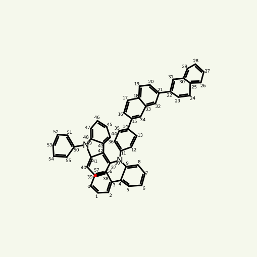 c1ccc(-c2ccccc2N(c2ccc(-c3ccc4ccc(-c5ccc6ccccc6c5)cc4c3)cc2)c2cccc3c2c2ccccc2n3-c2ccccc2)cc1